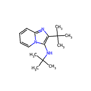 CC(C)(C)Nc1c(C(C)(C)C)nc2ccccn12